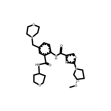 CO[C@H]1CCN(c2nc(C(=O)Nc3ccc(CN4CCOCC4)cc3C(=O)NC3CCOCC3)cs2)C1